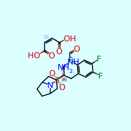 N[C@H](Cc1cc(F)c(F)cc1F)C1CC2CCC(C1)N2S(=O)(=O)CCNC=O.O=C(O)/C=C\C(=O)O